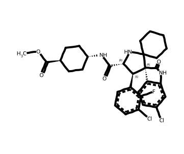 COC(=O)[C@H]1CC[C@H](NC(=O)[C@@H]2NC3(CCCCC3)[C@@]3(C(=O)Nc4cc(Cl)ccc43)[C@H]2c2cccc(Cl)c2F)CC1